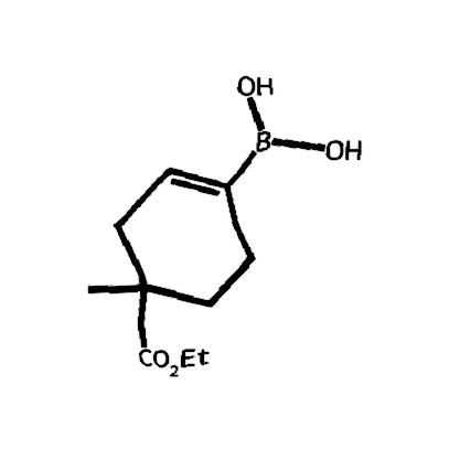 CCOC(=O)C1(C)CC=C(B(O)O)CC1